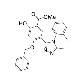 COC(=O)c1cc(-c2nnc(C)n2-c2ccccc2C)c(OCc2ccccc2)cc1O